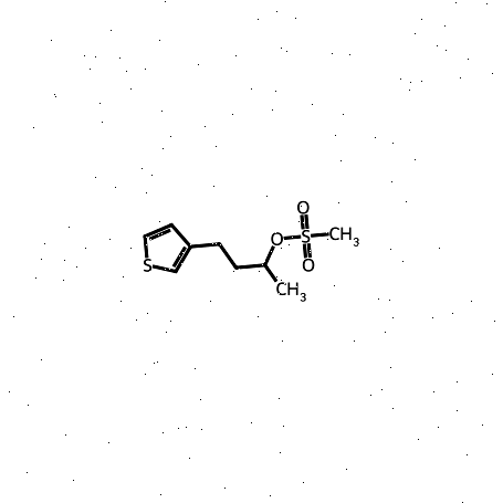 CC(CCc1ccsc1)OS(C)(=O)=O